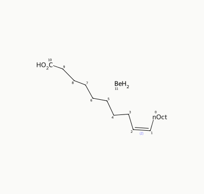 CCCCCCCC/C=C\CCCCCCCC(=O)O.[BeH2]